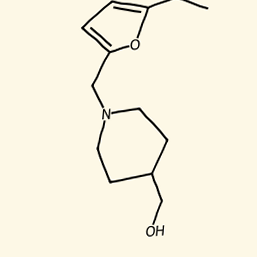 CCc1ccc(CN2CCC(CO)CC2)o1